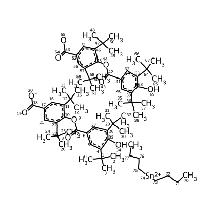 CC(C)(C)c1cc(C(=O)Oc2c(C(C)(C)C)cc(C(=O)[O-])cc2C(C)(C)C)cc(C(C)(C)C)c1O.CC(C)(C)c1cc(C(=O)Oc2c(C(C)(C)C)cc(C(=O)[O-])cc2C(C)(C)C)cc(C(C)(C)C)c1O.CCC[CH2][Sn+2][CH2]CCC